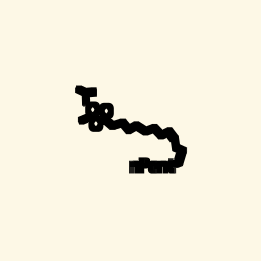 C=C(C)COC(C)OC(=O)CCCCCCC/C=C\C/C=C\CCCCC